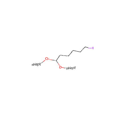 CCCCCCCOC(CCCCCI)OCCCCCCC